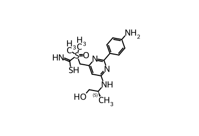 C[C@@H](CO)Nc1cc(CS(C)(C)(=O)C(=N)S)nc(-c2ccc(N)cc2)n1